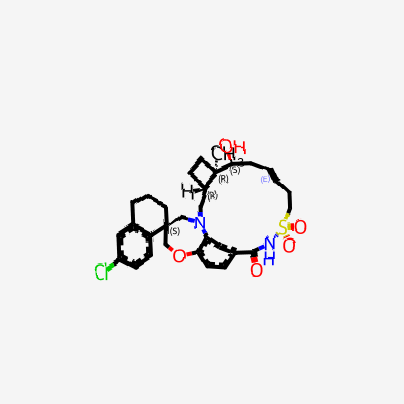 C[C@@]12CC[C@H]1CN1C[C@@]3(CCCc4cc(Cl)ccc43)COc3ccc(cc31)C(=O)NS(=O)(=O)CC/C=C/C[C@@H]2O